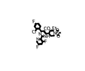 CCOC(=O)C1=C(C2CCN(S(C)(=O)=O)CC2)NC(c2ncc(F)cc2F)=NC1c1ccc(F)cc1Cl